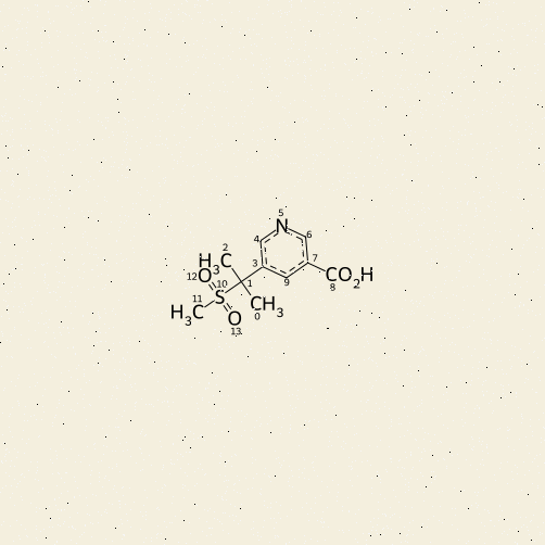 CC(C)(c1cncc(C(=O)O)c1)S(C)(=O)=O